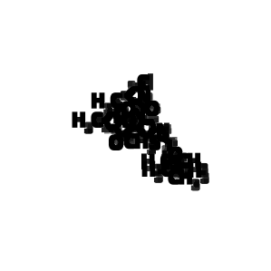 Cc1cc([C@@H](C)Oc2ccc(Cl)nc2C(N)=O)c2oc(-c3ccc4nc(CCO[Si](C)(C)C(C)(C)C)sc4c3)c(C)c(=O)c2c1